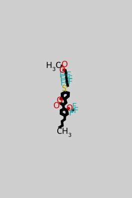 CCCCCc1ccc(-c2cc3ccc(SCC(F)(F)C(F)(F)C(F)(F)COC(C)=O)cc3oc2=O)c(OC(F)(F)F)c1